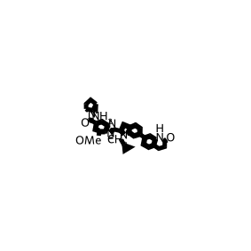 COc1cc(C(=O)N2CC3CCC2C3N)cc2nc(-c3cc4ccc(-c5ccc6c(c5)NC(=O)CC6)cc4n3CC3CC3)n(C)c12